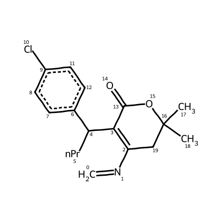 C=NC1=C(C(CCC)c2ccc(Cl)cc2)C(=O)OC(C)(C)C1